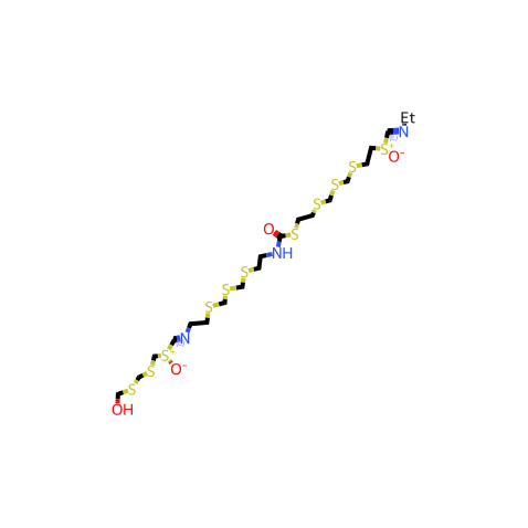 CC/N=C/[S+]([O-])CCSCSCSCCSC(=O)NCCSCSCSCC/N=C/[S+]([O-])CSCSCO